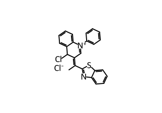 CC(=C1C=[N+](c2ccccc2)c2ccccc2C1Cl)c1nc2ccccc2s1.[Cl-]